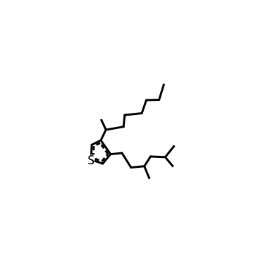 CCCCCCC(C)c1cscc1CCC(C)CC(C)C